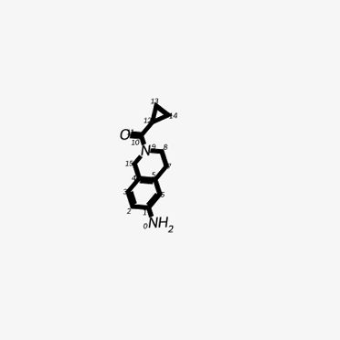 Nc1ccc2c(c1)CCN(C(=O)C1CC1)C2